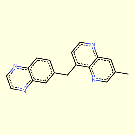 Cc1cnc2c(Cc3ccc4nccnc4c3)ccnc2c1